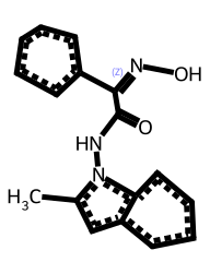 Cc1cc2ccccc2n1NC(=O)/C(=N\O)c1ccccc1